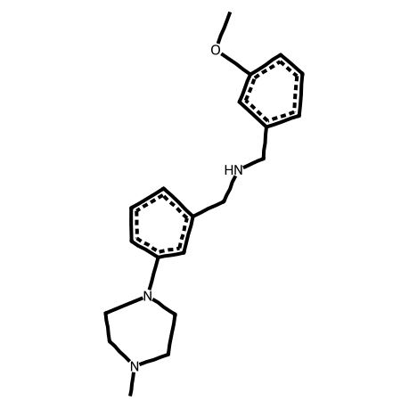 COc1cccc(CNCc2cccc(N3CCN(C)CC3)c2)c1